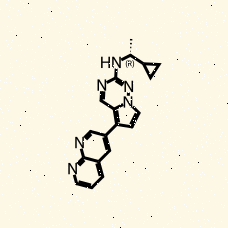 C[C@@H](Nc1ncc2c(-c3cnc4ncccc4c3)ccn2n1)C1CC1